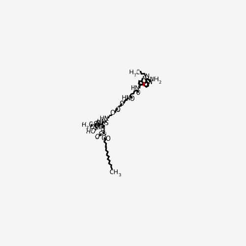 CCCCCCCCCCCCCCCC(=O)OC[C@H](CSCC(NC(=S)NCCCOCCOCCOCCCNC(=O)CCCC(=O)NCc1ccc(Cn2c(CCCC)nc3c(N)nc4ccccc4c32)cc1)C(=O)N[C@@H](CO)C(=O)OC)OC=O